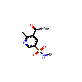 CCNS(=O)(=O)c1cnc(C)c(C(=O)NC)c1